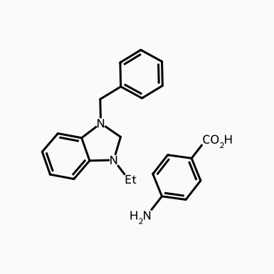 CCN1CN(Cc2ccccc2)c2ccccc21.Nc1ccc(C(=O)O)cc1